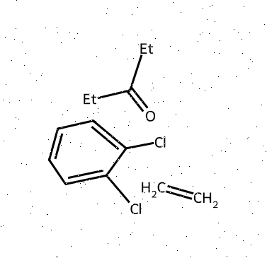 C=C.CCC(=O)CC.Clc1ccccc1Cl